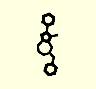 Fc1c(-c2ccccn2)nn2c1CN(Cc1ccccc1)CCC2